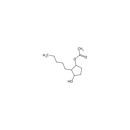 CCCCCC1C(O)CCC1OC(C)=O